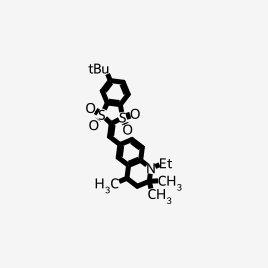 CCN1c2ccc(C=C3S(=O)(=O)c4ccc(C(C)(C)C)cc4S3(=O)=O)cc2C(C)CC1(C)C